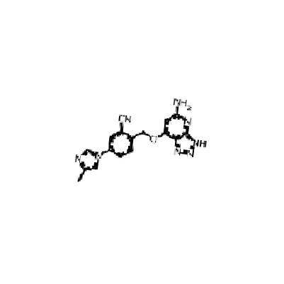 Cc1cn(-c2ccc(COc3cc(N)nc4[nH]nnc34)c(C#N)c2)cn1